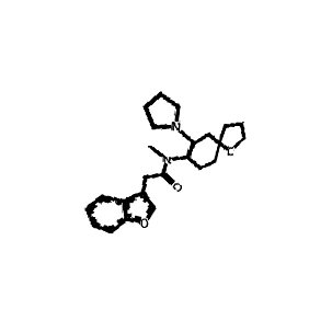 CN(C(=O)Cc1coc2ccccc12)C1CCC2(CCCO2)CC1N1CCCC1